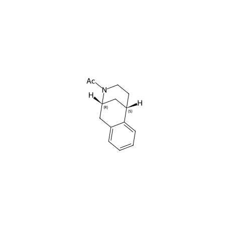 CC(=O)N1CC[C@H]2C[C@@H]1Cc1ccccc12